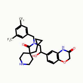 O=C1COc2ccc(C(O)CN(Cc3cc(C(F)(F)F)cc(C(F)(F)F)c3)C(=O)C3(CC4CC4)CCNCC3)cc2N1